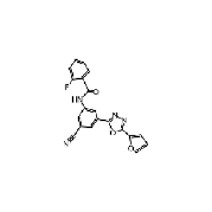 N#Cc1cc(NC(=O)c2ccccc2F)cc(-c2nnc(-c3ccco3)o2)c1